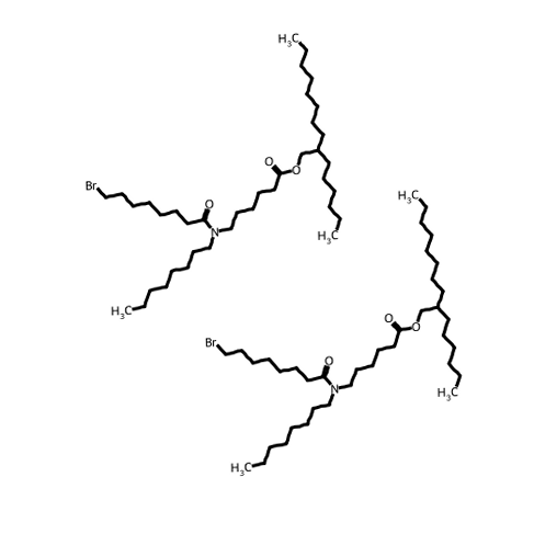 CCCCCCCCC(CCCCCC)COC(=O)CCCCCN(CCCCCCCC)C(=O)CCCCCCCBr.CCCCCCCCC(CCCCCC)COC(=O)CCCCCN(CCCCCCCC)C(=O)CCCCCCCBr